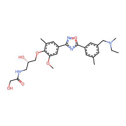 CCN(C)Cc1cc(C)cc(-c2nc(-c3cc(C)c(OC[C@@H](O)CNC(=O)CO)c(OC)c3)no2)c1